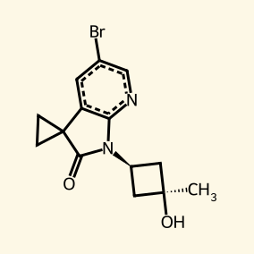 C[C@]1(O)C[C@@H](N2C(=O)C3(CC3)c3cc(Br)cnc32)C1